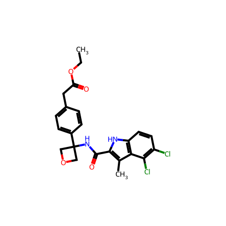 CCOC(=O)Cc1ccc(C2(NC(=O)c3[nH]c4ccc(Cl)c(Cl)c4c3C)COC2)cc1